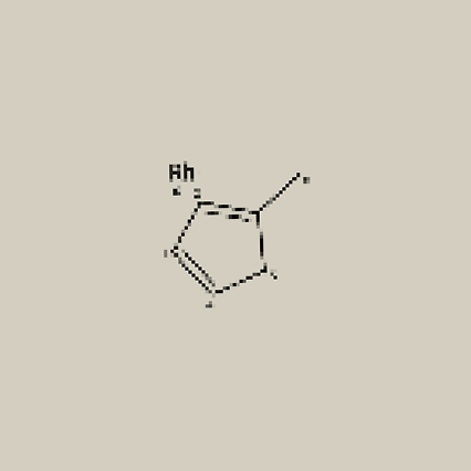 CC1=CC=C[CH]1.[Rh]